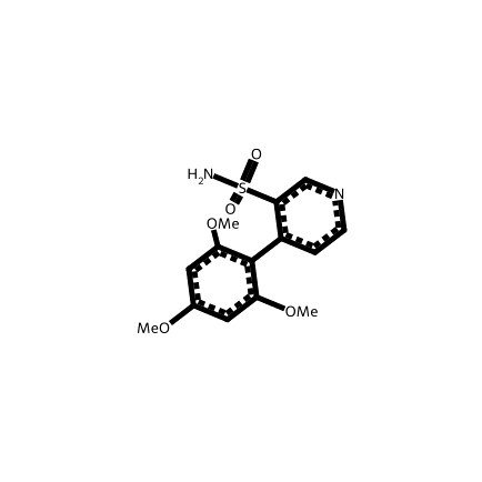 COc1cc(OC)c(-c2ccncc2S(N)(=O)=O)c(OC)c1